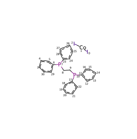 [I][Co][I].c1ccc(P(CCP(c2ccccc2)c2ccccc2)c2ccccc2)cc1